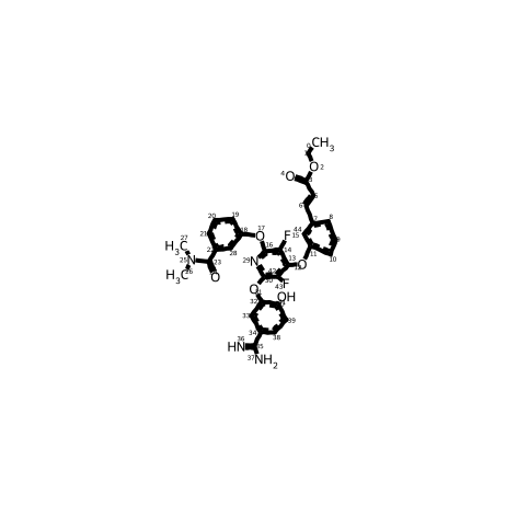 CCOC(=O)/C=C/c1cccc(Oc2c(F)c(Oc3cccc(C(=O)N(C)C)c3)nc(Oc3cc(C(=N)N)ccc3O)c2F)c1